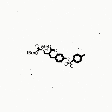 COC(=O)C(CNC(=O)OC(C)(C)C)Cc1ccc(OS(=O)(=O)c2ccc(C)cc2)cc1